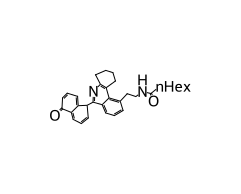 CCCCCCC(=O)NCCc1cccc2c(C3C=CC=C4C(=O)C=CC=C43)nc3c(c12)CCCC3